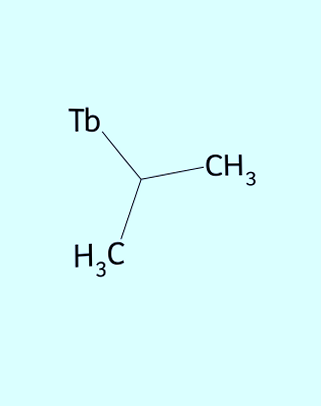 C[CH](C)[Tb]